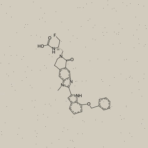 Cn1c(-c2cc3cccc(OCc4ccccc4)c3[nH]2)nc2cc3c(cc21)CCN(C[C@@H](CF)NC(=O)O)C3=O